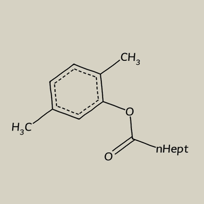 CCCCCCCC(=O)Oc1cc(C)ccc1C